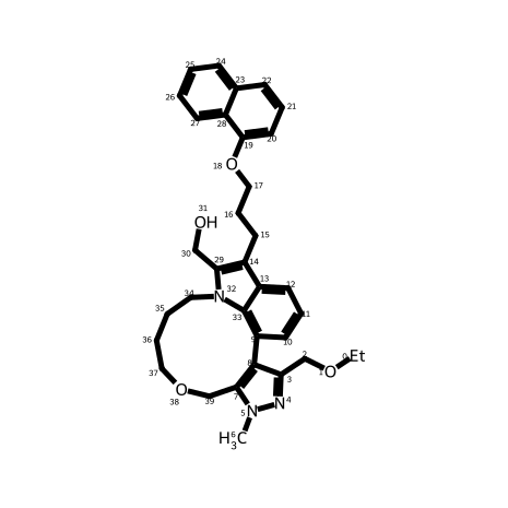 CCOCc1nn(C)c2c1-c1cccc3c(CCCOc4cccc5ccccc45)c(CO)n(c13)CCCCOC2